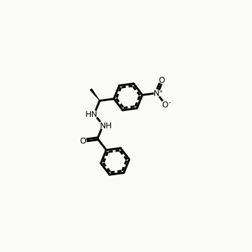 C[C@H](NNC(=O)c1ccccc1)c1ccc([N+](=O)[O-])cc1